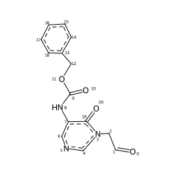 O=CCn1cncc(NC(=O)OCc2ccccc2)c1=O